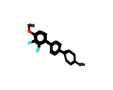 CCCCCCCCOc1ccc(-c2ccc(C3CCC(CCCC)CC3)cc2)c(F)c1F